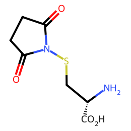 N[C@@H](CSN1C(=O)CCC1=O)C(=O)O